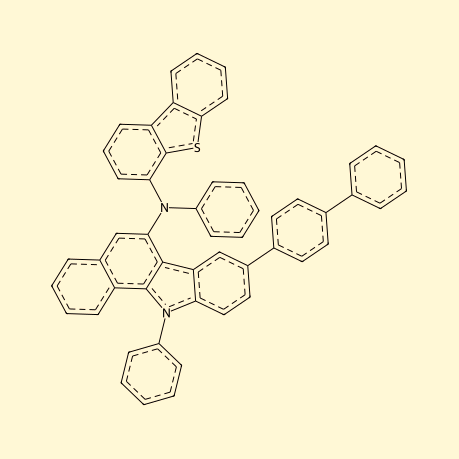 c1ccc(-c2ccc(-c3ccc4c(c3)c3c(N(c5ccccc5)c5cccc6c5sc5ccccc56)cc5ccccc5c3n4-c3ccccc3)cc2)cc1